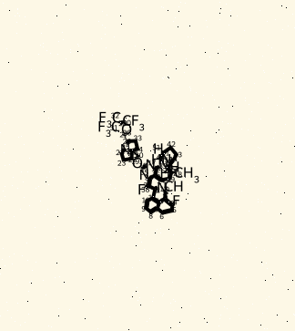 C#Cc1c(F)ccc2cccc(-c3nc4c5c(nc(OC[C@@]67CCCN6[C@H](COC(C(F)(F)F)(C(F)(F)F)C(F)(F)F)CC7)nc5c3F)N3C[C@H]5CC[C@H](N5)[C@@H]3[C@@H](C)C4)c12